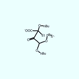 CCCCOC(OCCCC)C(=O)C(CC)(OCCCC)C(=O)[O-].[Ti+]